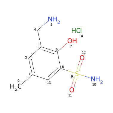 Cc1cc(CN)c(O)c(S(N)(=O)=O)c1.Cl